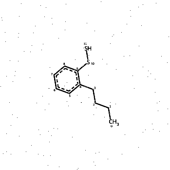 CCCCc1ccccc1SS